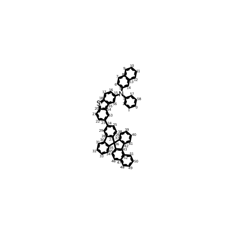 c1ccc(N(c2ccc3ccccc3c2)c2ccc3sc4ccc(-c5ccc6c(c5)-c5ccccc5C65c6ccccc6-c6c5ccc5ccccc65)cc4c3c2)cc1